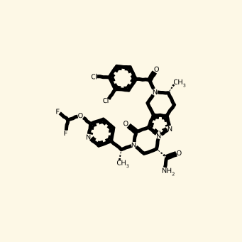 C[C@@H]1Cc2nn3c(c2CN1C(=O)c1ccc(Cl)c(Cl)c1)C(=O)N([C@H](C)c1ccc(OC(F)F)nc1)C[C@H]3C(N)=O